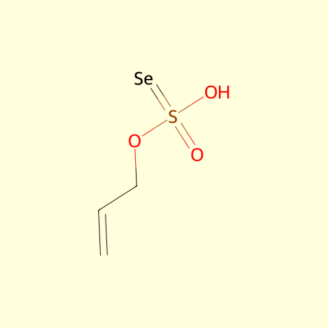 C=CCOS(=O)(O)=[Se]